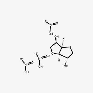 O=[N+]([O-])O.O=[N+]([O-])O.O=[N+]([O-])O.O[C@@H]1CO[C@H]2[C@@H]1OC[C@@H]2O